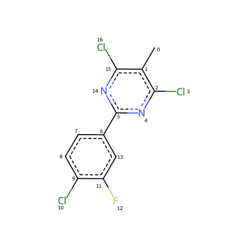 Cc1c(Cl)nc(-c2ccc(Cl)c(F)c2)nc1Cl